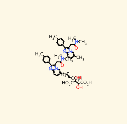 C=CC(=O)O.Cc1ccc(-c2nc3ccc(C)cn3c2CC(=O)N(C)C)cc1.Cc1ccc(-c2nc3ccc(C)cn3c2CC(=O)N(C)C)cc1.O=C(O)C(O)C(O)C(=O)O